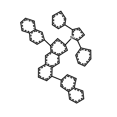 c1ccc(-c2ccc(-c3ccccc3)n2-c2cc(-c3ccc4ccccc4c3)c3cc4cccc(-c5ccc6ccccc6c5)c4cc3c2)cc1